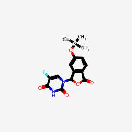 CC(C)(C)[Si](C)(C)Oc1ccc2c(c1)C(n1cc(F)c(=O)[nH]c1=O)OC2=O